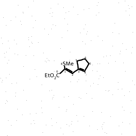 CCOC(=O)C(=CC1=CCCC1)SC